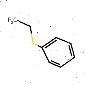 FC(F)(F)CSc1cc[c]cc1